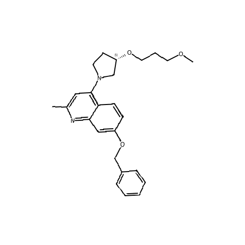 COCCCO[C@H]1CCN(c2cc(C)nc3cc(OCc4ccccc4)ccc23)C1